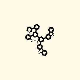 Cc1ccccc1-c1cc(-c2cc(-c3ccc4sc5ccccc5c4c3)cc(-c3ccc4sc5ccccc5c4c3)c2)cc(-c2ccccc2-c2cccnc2)c1